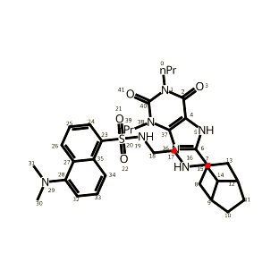 CCCn1c(=O)c2[nH]c(C3CC4CCC(C3)C4CNCCNS(=O)(=O)c3cccc4c(N(C)C)cccc34)nc2n(CCC)c1=O